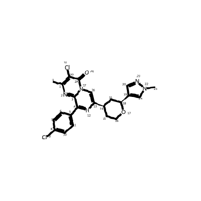 Cc1nc2c(-c3ccc(Cl)cc3)nc([C@@H]3CCO[C@H](c4cnn(C)c4)C3)cn2c(=O)c1Cl